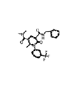 Cc1c(C(=O)N(C)C)cc(C(=O)NCc2ccccc2)c(=O)n1-c1cccc(C(F)(F)F)c1